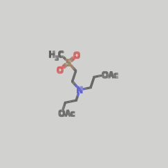 CC(=O)OCCN(CCOC(C)=O)CCS(C)(=O)=O